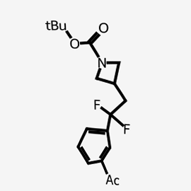 CC(=O)c1cccc(C(F)(F)CC2CN(C(=O)OC(C)(C)C)C2)c1